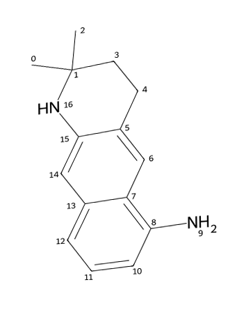 CC1(C)CCc2cc3c(N)cccc3cc2N1